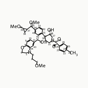 COCCCN1CCOc2ccc(CO[C@H]3CN(S(=O)(=O)c4ccc(C)cc4)C[C@@H](O)[C@@H]3c3ccc([C@@H](OC)C4CC4OC)cc3)cc21